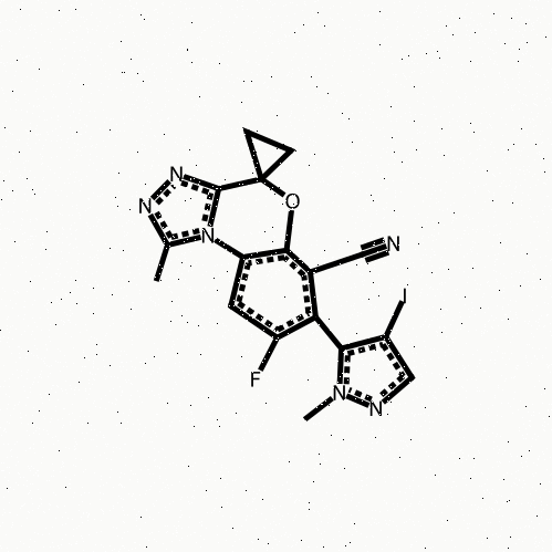 Cc1nnc2n1-c1cc(F)c(-c3c(I)cnn3C)c(C#N)c1OC21CC1